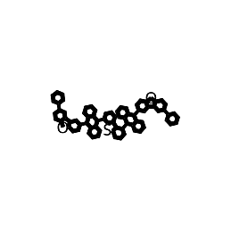 c1ccc(-c2ccc3oc4ccc(-c5c6ccccc6c(-c6cccc7c6sc6cccc(-c8c9ccccc9c(-c9ccc%10oc%11ccc(-c%12ccccc%12)cc%11c%10c9)c9ccccc89)c67)c6ccccc56)cc4c3c2)cc1